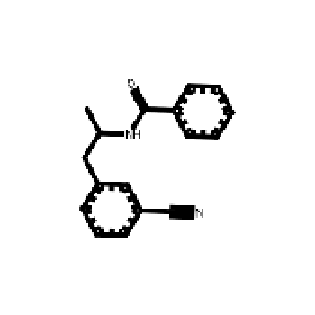 CC(Cc1cccc(C#N)c1)NC(=O)c1ccccc1